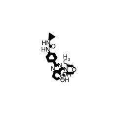 C[C@H]1COCCN1c1nc(-c2ccc(NC(=O)NC3CC3)cc2)nc2c1S(O)(O)CC2